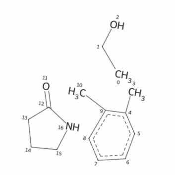 CCO.Cc1ccccc1C.O=C1CCCN1